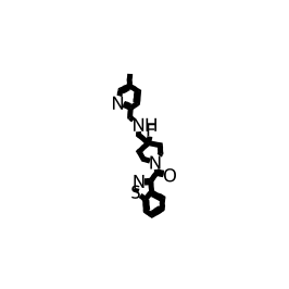 Cc1ccc(CNCC2(F)CCN(C(=O)c3nsc4ccccc34)CC2)nc1